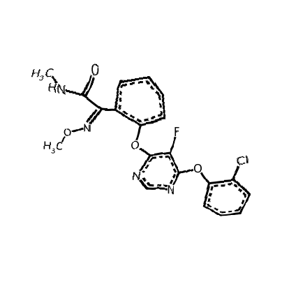 CNC(=O)C(=NOC)c1ccccc1Oc1ncnc(Oc2ccccc2Cl)c1F